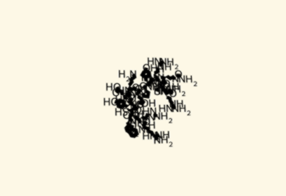 N=C(N)NCCC[C@H](NC(=O)[C@H](CS)NC(=O)[C@H](CCCNC(N)=O)NC(=O)[C@H](CCCNC(=N)N)NC(=O)[C@H](Cc1ccc(O)cc1)NC(=O)[C@@H]1CCCN1C(=O)[C@@H](CCC(=O)O)NC(=O)[C@H](CCCCN)NC(=O)[C@@H](CCC(=O)O)NC(=O)[C@H](Cc1ccc(O)cc1)NC(=O)[C@H](CS)NC(=O)[C@H](Cc1ccc2ccccc2c1)NC(=O)[C@H](CCCNC(=N)N)NC(=O)[C@@H](N)CCCNC(=N)N)C(N)=O